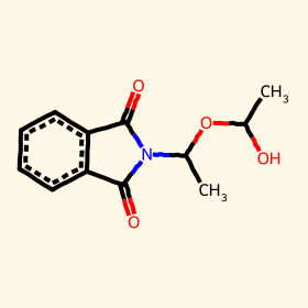 CC(O)OC(C)N1C(=O)c2ccccc2C1=O